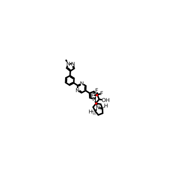 Cn1cc(-c2cccc(-c3ncc(-c4cnn(C5C[C@H]6CC[C@@H](C5)N6CC(O)C(F)(F)F)c4)cn3)c2)cn1